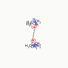 CC1(C)CC(OC(=O)CCCCCCCCC(=O)OC2CC(C)(C)NC3(C)C[C@@H]23)CC(C)(C)N1